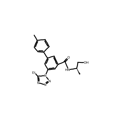 CCc1nnnn1-c1cc(C(=O)N[C@H](C)CO)cc(-c2ccc(C)cc2)c1